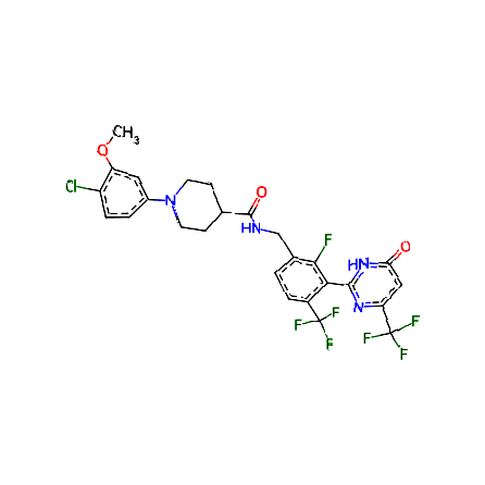 COc1cc(N2CCC(C(=O)NCc3ccc(C(F)(F)F)c(-c4nc(C(F)(F)F)cc(=O)[nH]4)c3F)CC2)ccc1Cl